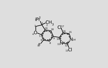 CC(C)C1(C)COc2c(F)cc(-c3nc(Cl)ncc3Cl)cc21